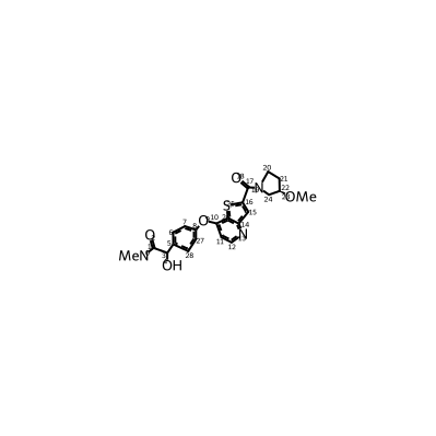 CNC(=O)C(O)c1ccc(Oc2ccnc3cc(C(=O)N4CC[C@@H](OC)C4)sc23)cc1